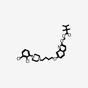 CC(C)C(C)(C)C(=O)OCOc1ccc2ccc(OCCCCN3CCN(c4cccc(Cl)c4Cl)CC3)cc2n1